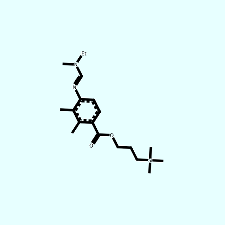 CCN(C)/C=N/c1ccc(C(=O)OCCC[Si](C)(C)C)c(C)c1C